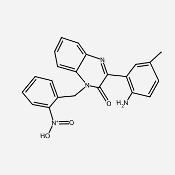 Cc1ccc(N)c(-c2nc3ccccc3n(Cc3ccccc3[N+](=O)O)c2=O)c1